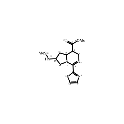 COC(=O)C1CN=C(c2nccs2)N2CC(NSC)CC12